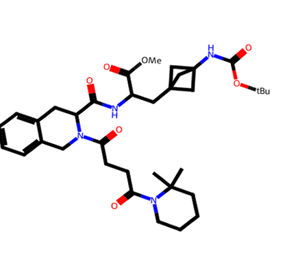 COC(=O)C(CC12CC(NC(=O)OC(C)(C)C)(C1)C2)NC(=O)C1Cc2ccccc2CN1C(=O)CCC(=O)N1CCCCC1(C)C